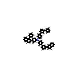 c1ccc(-c2cccc(-c3ccc(N(c4ccc(-c5cccc(-c6ccc7ccccc7c6)c5)cc4)c4ccc(-c5ccc6ccccc6c5-c5ccccc5)cc4)cc3)c2)cc1